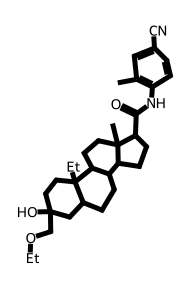 CCOCC1(O)CCC2(CC)C(CCC3C4CCC(C(=O)Nc5ccc(C#N)cc5C)C4(C)CCC32)C1